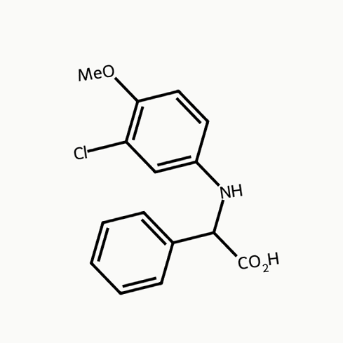 COc1ccc(NC(C(=O)O)c2ccccc2)cc1Cl